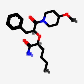 CCCC[C@H](O[C@@H](Cc1ccccc1)C(=O)N1CCC(OC)CC1)C(N)=O